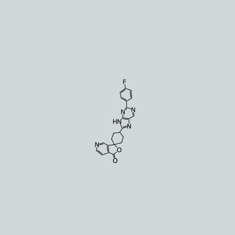 O=C1OC2(CCC(c3nc4cnc(-c5ccc(F)cc5)nc4[nH]3)CC2)c2cnccc21